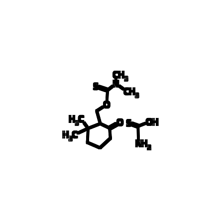 CN(C)C(=S)OCC1C(=O)CCCC1(C)C.NC(O)=S